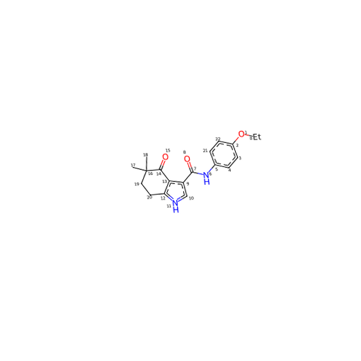 CCOc1ccc(NC(=O)c2c[nH]c3c2C(=O)C(C)(C)CC3)cc1